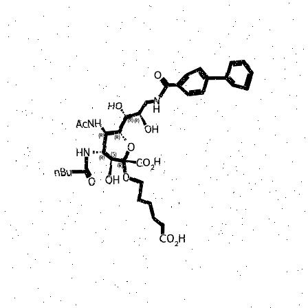 CCCCC(=O)N[C@@H]1[C@@H](NC(C)=O)[C@H]([C@H](O)[C@H](O)CNC(=O)c2ccc(-c3ccccc3)cc2)O[C@@](OCCCCCC(=O)O)(C(=O)O)[C@H]1O